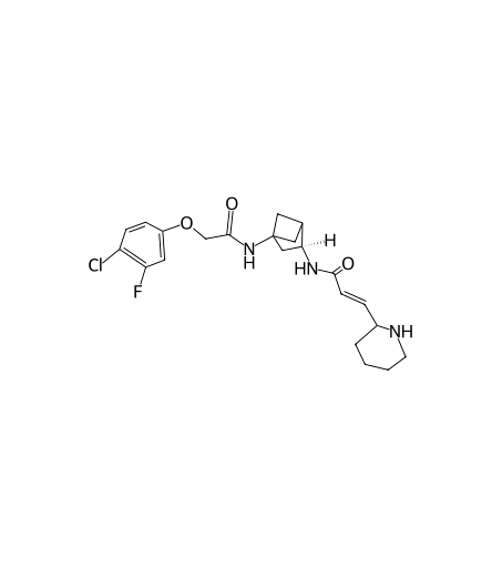 O=C(/C=C/C1CCCCN1)N[C@H]1CC2(NC(=O)COc3ccc(Cl)c(F)c3)CC1C2